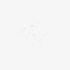 C1=Cc2ccccc2SN1.c1ccc2c(c1)Nc1ccccc1O2